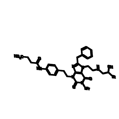 CCCn1c(=O)c2c(nc(Cc3ccccc3)n2CCNCC(O)CC)n(CCc2ccc(NC(=O)CCC(=O)O)cc2)c1=O